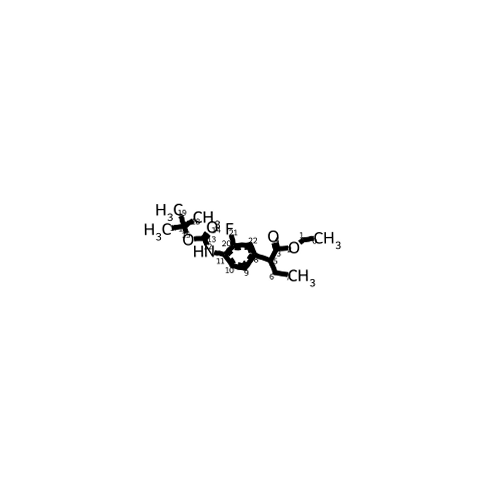 CCOC(=O)C(CC)c1ccc(NC(=O)OC(C)(C)C)c(F)c1